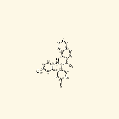 O=C(c1ccc2ccccc2c1)C(Nc1ccc(Cl)cc1)c1ccc(F)cc1